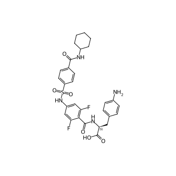 Nc1ccc(C[C@H](NC(=O)c2c(F)cc(NS(=O)(=O)c3ccc(C(=O)NC4CCCCC4)cc3)cc2F)C(=O)O)cc1